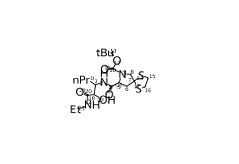 CCCC(NC(=O)[C@@H]1CC2(CN1C(=O)OC(C)(C)C)SCCS2)C(O)C(=O)NCC